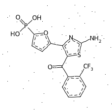 Nc1nc(-c2ccc(P(=O)(O)O)o2)c(C(=O)c2ccccc2C(F)(F)F)s1